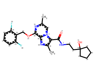 Cc1cn2c(C(=O)NCCC3(O)CCCC3)c(C)nc2c(OCc2c(F)cccc2F)n1